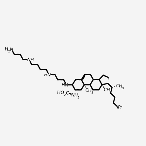 CC(C)CCC[C@@H](C)[C@H]1CCC2C3CC=C4CC(NCCCNCCCCNCCCN)CC[C@]4(C)C3CC[C@@]21C.NC(=O)O